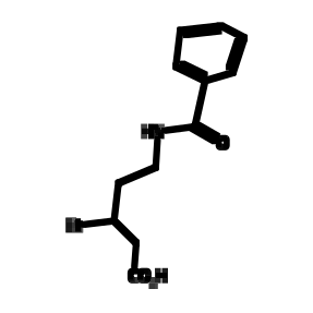 CCC(CCNC(=O)c1ccccc1)CC(=O)O